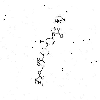 COC(=O)OC[C@@H]1CC(c2ccc(-c3ccc(N4C[C@H](Cn5ccnn5)OC4=O)cc3F)cn2)=NO1